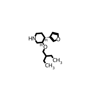 CCC(CC)CO[C@H]1CNCC[C@@H]1c1ccoc1